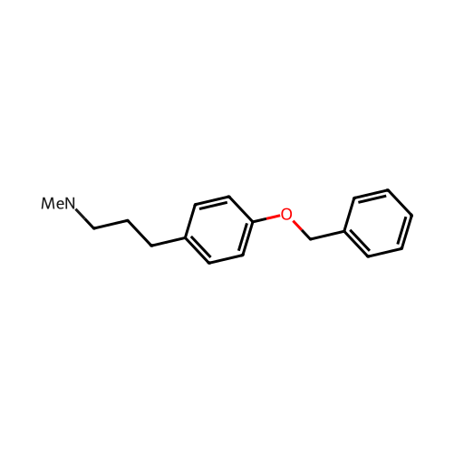 CNCCCc1ccc(OCc2ccccc2)cc1